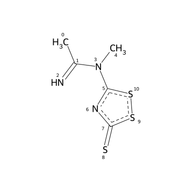 CC(=N)N(C)c1nc(=S)ss1